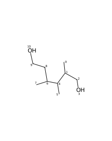 CC(CO)C(C)C(C)CCO